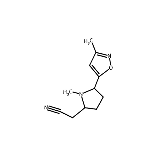 Cc1cc(C2CCC(CC#N)N2C)on1